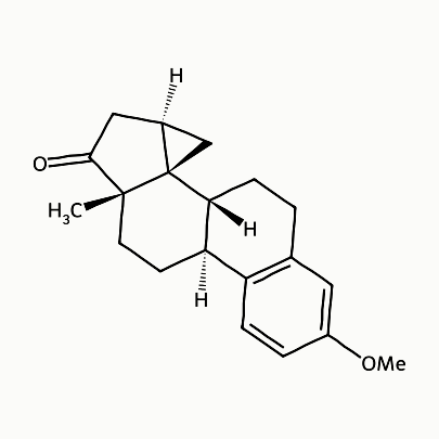 COc1ccc2c(c1)CC[C@@H]1[C@@H]2CC[C@]2(C)C(=O)C[C@H]3C[C@@]312